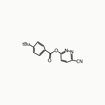 CC(C)(C)c1ccc(C(=O)Oc2ccc(C#N)nn2)cc1